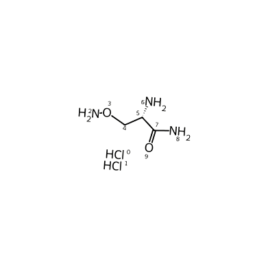 Cl.Cl.NOC[C@H](N)C(N)=O